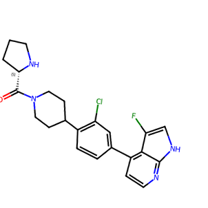 O=C([C@@H]1CCCN1)N1CCC(c2ccc(-c3ccnc4[nH]cc(F)c34)cc2Cl)CC1